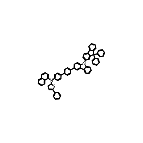 C1=C(c2ccccc2)SC(N(c2ccc(-c3ccc(-c4ccc5c(c4)c4ccccc4n5-c4ccc5c(c4)C(c4ccccc4)(c4ccccc4)c4ccccc4-5)cc3)cc2)c2cccc3ccccc23)C1